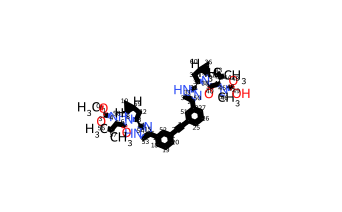 COC(=O)N[C@H](C(=O)N1[C@@H]2C[C@@H]2C[C@H]1c1nc(-c2cccc(C#Cc3cccc(-c4c[nH]c([C@@H]5C[C@H]6C[C@H]6N5C(=O)[C@H](C(C)C)N(C)C(=O)O)n4)c3)c2)c[nH]1)C(C)C